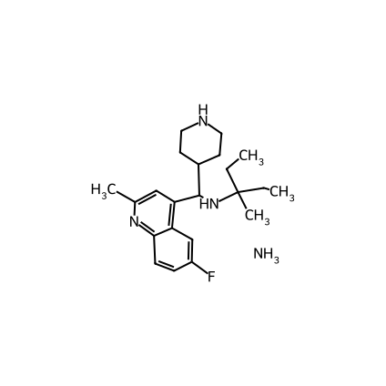 CCC(C)(CC)NC(c1cc(C)nc2ccc(F)cc12)C1CCNCC1.N